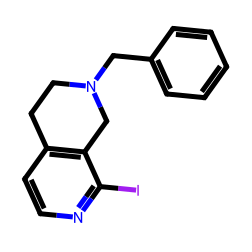 Ic1nccc2c1CN(Cc1ccccc1)CC2